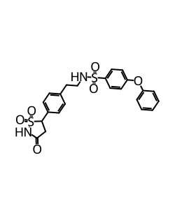 O=C1CC(c2ccc(CCNS(=O)(=O)c3ccc(Oc4ccccc4)cc3)cc2)S(=O)(=O)N1